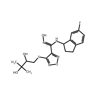 CC(C)(O)C(O)CSc1nonc1/C(=N/O)NC1CCc2ccc(F)cc21